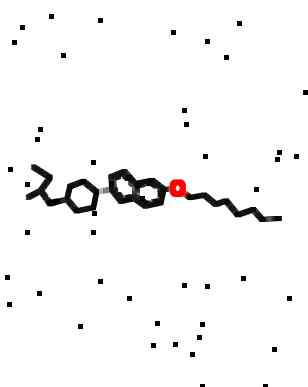 CCCCCCCCOc1ccc2cc([C@H]3CC[C@H](CC(C)CC)CC3)ccc2c1